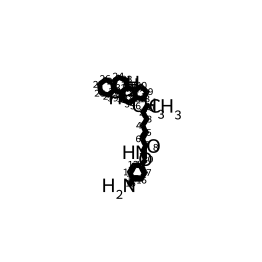 CC(CCCC=CC(=O)NOc1ccc(N)cc1)[C@H]1CC[C@H]2[C@@H]3CCC4CCCC[C@]4(C)[C@H]3CC[C@]12C